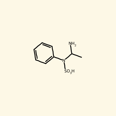 CC(N)N(c1ccccc1)S(=O)(=O)O